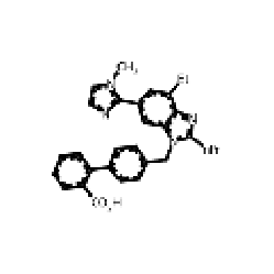 CCCc1nc2c(CC)cc(-c3nccn3C)cc2n1Cc1ccc(-c2ccccc2C(=O)O)cc1